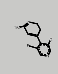 CC(C)(C)C1=NCCC(c2c(F)cncc2Cl)=C1